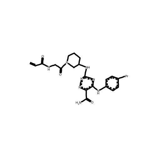 C=CC(=O)NCC(=O)N1CCCC(Nc2nnc(C(N)=O)c(Nc3ccc(C(C)C)cc3)n2)C1